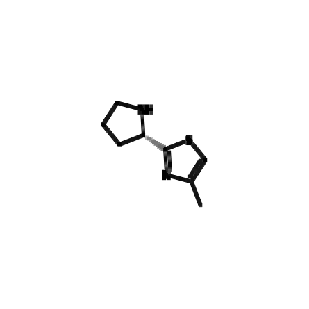 Cc1csc([C@@H]2CCCN2)n1